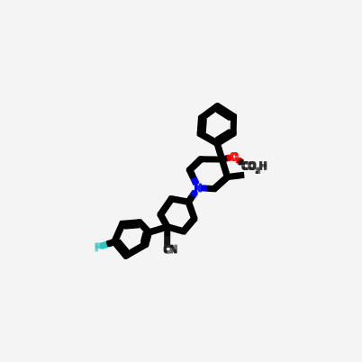 CC1CN(C2CCC(C#N)(c3ccc(F)cc3)CC2)CCC1(OC(=O)O)c1ccccc1